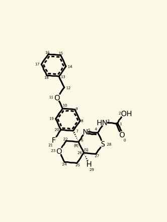 O=C(O)NC1=N[C@]2(c3ccc(OCc4ccccc4)cc3F)COCC[C@@H]2CS1